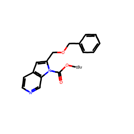 CC(C)(C)OC(=O)n1c(COCc2ccccc2)cc2ccncc21